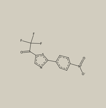 O=C(c1cnc(-c2ccc([N+](=O)[O-])cc2)s1)C(F)(F)F